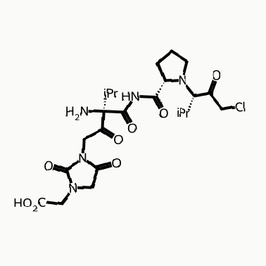 CC(C)[C@@H](C(=O)CCl)N1CCC[C@H]1C(=O)NC(=O)[C@](N)(C(=O)CN1C(=O)CN(CC(=O)O)C1=O)C(C)C